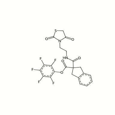 O=C1CSC(=O)N1CCNC(=O)C1(C(=O)Oc2c(F)c(F)c(F)c(F)c2F)Cc2ccccc2C1